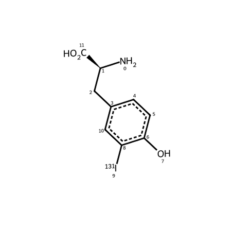 N[C@@H](Cc1ccc(O)c([131I])c1)C(=O)O